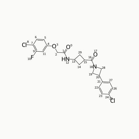 O=C(COc1ccc(Cl)c(F)c1)NC1CC(C(=O)N2CC(c3ccc(Cl)cc3)C2)C1